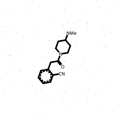 CNC1CCN(C(=O)Cc2ccccc2C#N)CC1